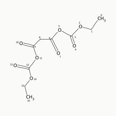 CCOC(=O)OC(=O)CC(=O)OC(=O)OCC